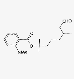 CNc1ccccc1C(=O)OC(C)(C)CCCC(C)CC=O